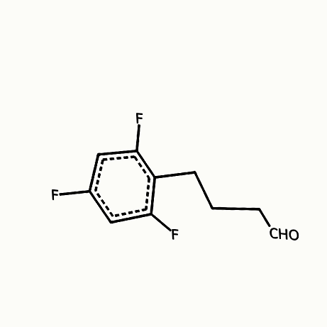 O=CCCCc1c(F)cc(F)cc1F